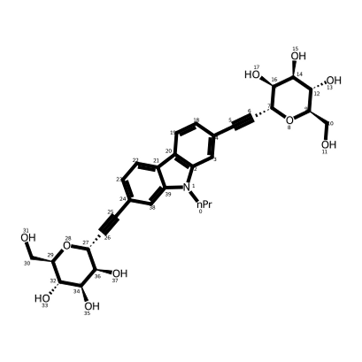 CCCn1c2cc(C#C[C@H]3O[C@H](CO)[C@@H](O)[C@H](O)[C@@H]3O)ccc2c2ccc(C#C[C@H]3O[C@H](CO)[C@@H](O)[C@H](O)[C@@H]3O)cc21